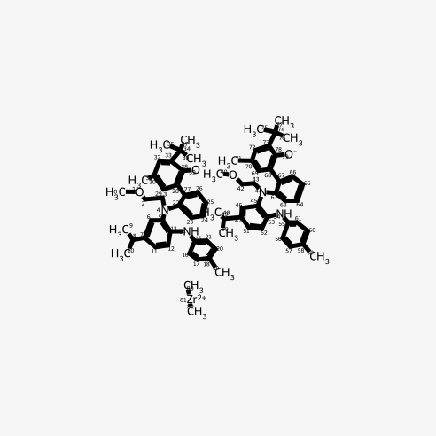 COCCN(c1cc(C(C)C)ccc1Nc1ccc(C)cc1)c1ccccc1-c1cc(C)cc(C(C)(C)C)c1[O-].COCCN(c1cc(C(C)C)ccc1Nc1ccc(C)cc1)c1ccccc1-c1cc(C)cc(C(C)(C)C)c1[O-].[CH3][Zr+2][CH3]